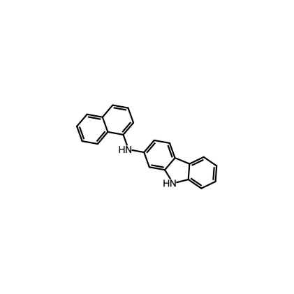 c1ccc2c(Nc3ccc4c(c3)[nH]c3ccccc34)cccc2c1